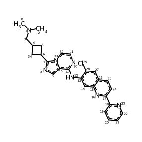 CN(C)CC1CC(c2ncc3c(Nc4cc5nc(-c6ccccn6)ccc5cc4Cl)nccn23)C1